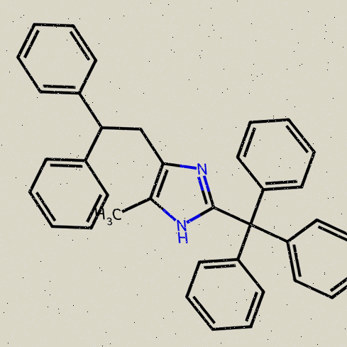 Cc1[nH]c(C(c2ccccc2)(c2ccccc2)c2ccccc2)nc1CC(c1ccccc1)c1ccccc1